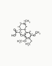 CCc1c(OC)cc(C2CN(C)CCC2C(C)C(=O)O)cc1OC